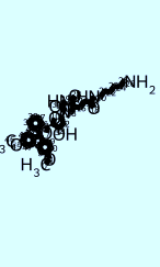 COc1ccc(C(OC[C@H]2O[C@@H](n3cc(/C=C/C(=O)NCCCCCCN)c(=O)[nH]c3=O)C[C@H]2O)(c2ccccc2)c2ccc(OC)cc2)cc1